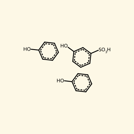 O=S(=O)(O)c1cccc(O)c1.Oc1ccccc1.Oc1ccccc1